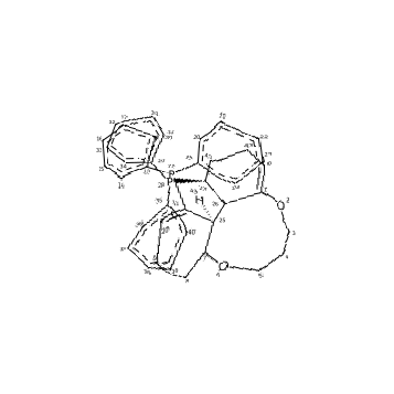 C1=C2OCCCOC3CCC=C(P(c4ccccc4)c4ccccc4)[C@H]3C2[C@@H](P(c2ccccc2)c2ccccc2)CC1